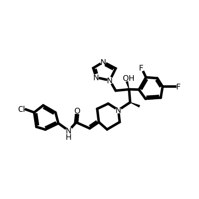 C[C@@H](N1CCC(=CC(=O)Nc2ccc(Cl)cc2)CC1)[C@](O)(Cn1cncn1)c1ccc(F)cc1F